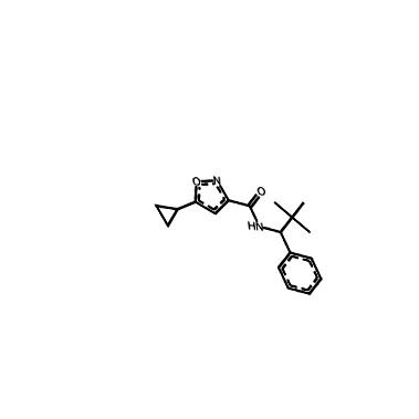 CC(C)(C)C(NC(=O)c1cc(C2CC2)on1)c1ccccc1